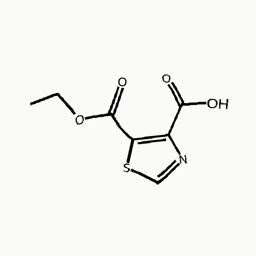 CCOC(=O)c1scnc1C(=O)O